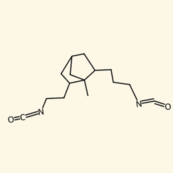 CC12CC(CC1CCCN=C=O)CC2CCN=C=O